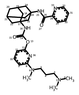 CN(C)CCCN(C)c1cccc(OC(=O)NC23CC4CC(C2)CC(NC(=O)c2ccccn2)(C4)C3)n1